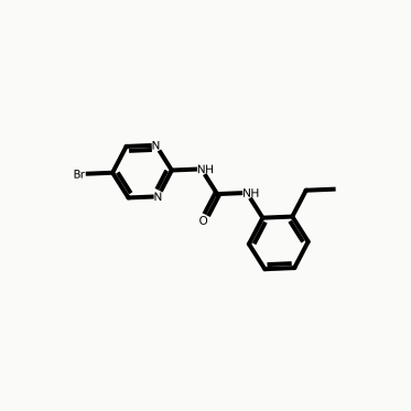 CCc1ccccc1NC(=O)Nc1ncc(Br)cn1